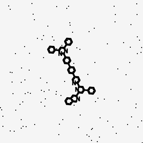 c1ccc(-c2cc(-c3ccc(-c4ccc(-c5ccc(-c6nc(-c7ccccc7)cc(-c7ccccc7)n6)cc5)cc4)cn3)nc(-c3cc4ccccc4cn3)c2)cc1